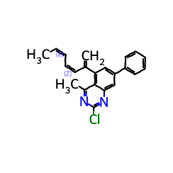 C=C(/C=C\C=C/C)c1cc(-c2ccccc2)cc2nc(Cl)nc(C)c12